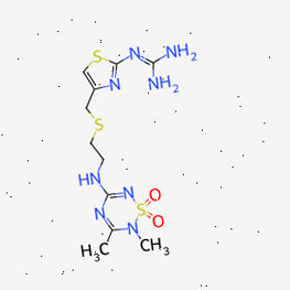 CC1=NC(NCCSCc2csc(N=C(N)N)n2)=NS(=O)(=O)N1C